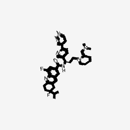 CC(C)[C@]1(F)CCc2nc3c(F)cc(C(=O)N[C@H](CCN4CCCCC4CN(C)C)c4ccc(-c5ccnnc5)nc4)cc3cc2C1